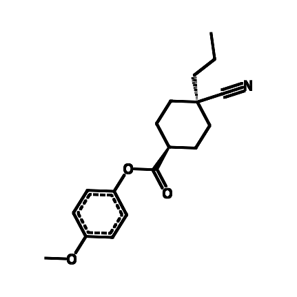 CCC[C@]1(C#N)CC[C@@H](C(=O)Oc2ccc(OC)cc2)CC1